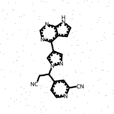 N#CCC(c1ccnc(C#N)c1)n1cc(-c2ncnc3[nH]ccc23)cn1